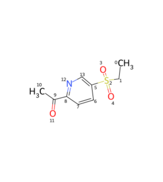 CCS(=O)(=O)c1ccc(C(C)=O)nc1